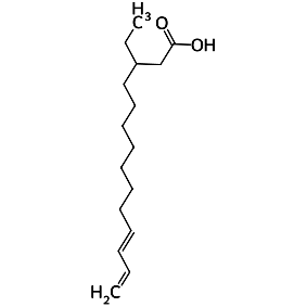 C=C/C=C/CCCCCCCC(CC)CC(=O)O